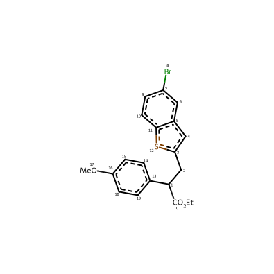 CCOC(=O)C(Cc1cc2cc(Br)ccc2s1)c1ccc(OC)cc1